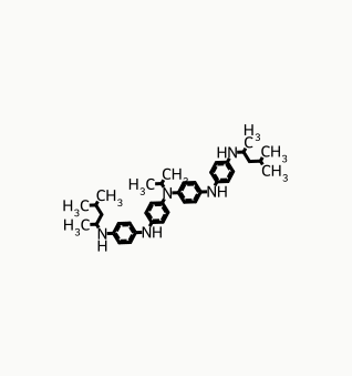 CC(C)CC(C)Nc1ccc(Nc2ccc(N(c3ccc(Nc4ccc(NC(C)CC(C)C)cc4)cc3)C(C)C)cc2)cc1